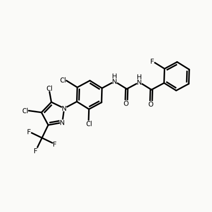 O=C(NC(=O)c1ccccc1F)Nc1cc(Cl)c(-n2nc(C(F)(F)F)c(Cl)c2Cl)c(Cl)c1